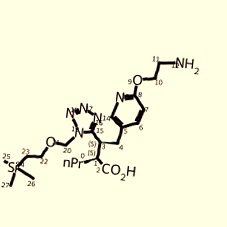 CCC[C@H](C(=O)O)[C@H](Cc1ccc(OCCN)nc1)c1nnnn1COCC[Si](C)(C)C